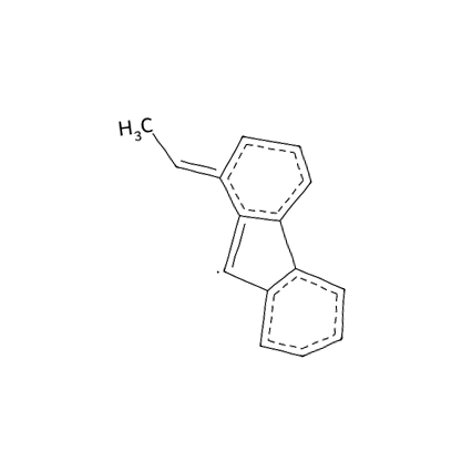 CC=c1cccc2c1=[C]c1ccccc1-2